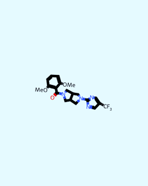 COc1cccc(OC)c1C(=O)N1CC2CN(c3ncc(C(F)(F)F)cn3)CC2C1